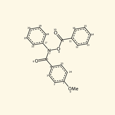 COc1ccc(C(=O)N(OC(=O)c2ccccc2)c2ccccc2)cc1